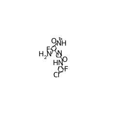 NCc1c(F)cc(C(=O)NC2CC2)cc1-c1ccc(C(=O)NCc2ccc(Cl)cc2F)cn1